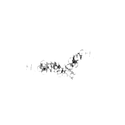 CN1CCN(S(=O)(=O)c2ccc(C(CC3CCCC3)C(=O)Nc3nc4ccc(C(=O)N(C)C)nc4s3)cc2)CC1